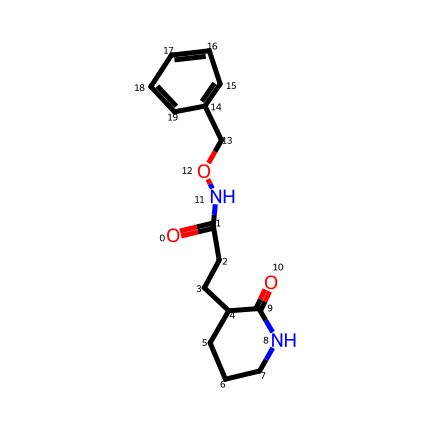 O=C(CCC1CCCNC1=O)NOCc1ccccc1